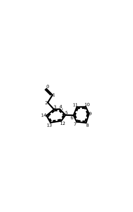 C=CCc1[c]c(-c2ccccc2)ccc1